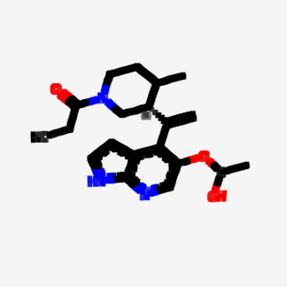 C=C(c1c(OB(C)O)cnc2[nH]ccc12)[C@@H]1CN(C(=O)CC#N)CCC1C